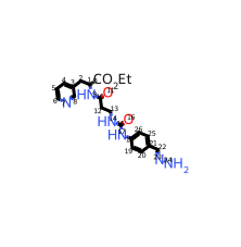 CCOC(=O)C(Cc1cccnc1)NC(=O)CCNC(=O)Nc1ccc(C=NN)cc1